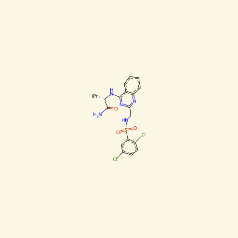 CC(C)[C@H](Nc1nc(CNS(=O)(=O)c2cc(Cl)ccc2Cl)nc2ccccc12)C(N)=O